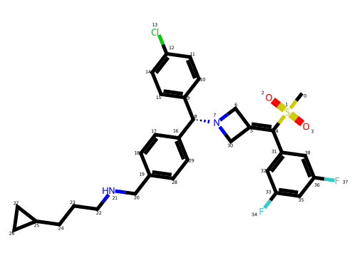 CS(=O)(=O)C(=C1CN([C@@H](c2ccc(Cl)cc2)c2ccc(CNCCCC3CC3)cc2)C1)c1cc(F)cc(F)c1